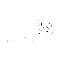 CCN(C(=O)c1cc(F)ccc1-c1cc(C2(O)CN([C@@H](CCCN3CCN(CCO)CC3)C(C)C)C2)cn2c(C)ncc12)C(C)C